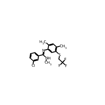 CN/C(=N\c1cc(SCC(F)(F)F)c(C)cc1C)c1cccc(Cl)c1